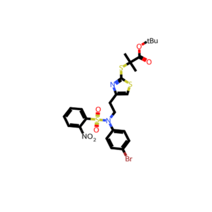 CC(C)(C)OC(=O)C(C)(C)Sc1nc(CCN(c2ccc(Br)cc2)S(=O)(=O)c2ccccc2[N+](=O)[O-])cs1